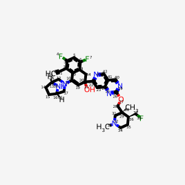 C#Cc1c(F)cc(F)c2c1C(N1C[C@H]3CC[C@@H](C1)N3)=CC(O)(c1cc3nc(OC[C@]4(C)CN(C)CC[C@@H]4CF)ncc3cn1)C2